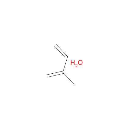 C=CC(=C)C.O